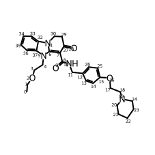 CCOCCN1C2=C(C(=O)NCc3ccc(OCCN4CCCCC4)cc3)C(=O)CCN2c2ccccc21